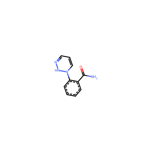 NC(=O)c1ccccc1N1C=CC=NN1